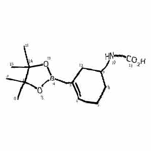 CC1(C)OB(C2=CCCC(NC(=O)O)C2)OC1(C)C